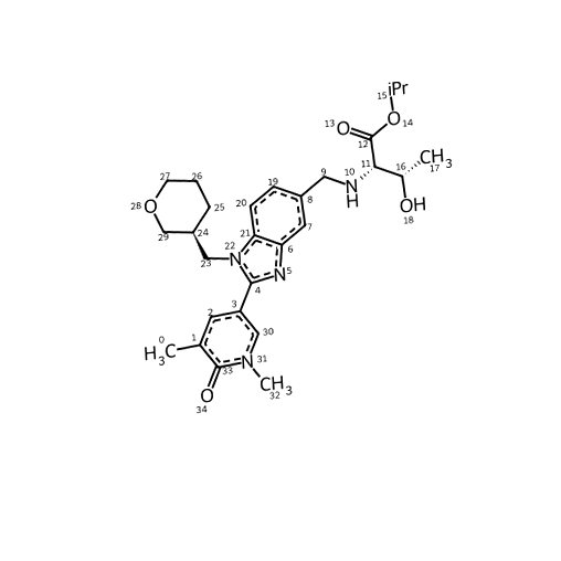 Cc1cc(-c2nc3cc(CN[C@H](C(=O)OC(C)C)[C@H](C)O)ccc3n2C[C@@H]2CCCOC2)cn(C)c1=O